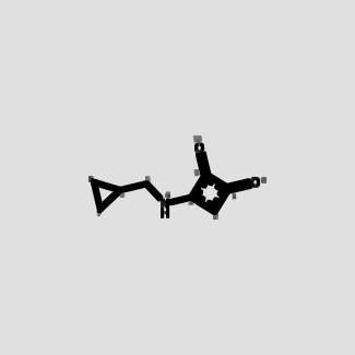 O=c1cc(NCC2CC2)c1=O